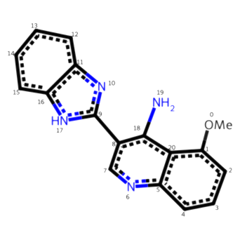 COc1cccc2ncc(-c3nc4ccccc4[nH]3)c(N)c12